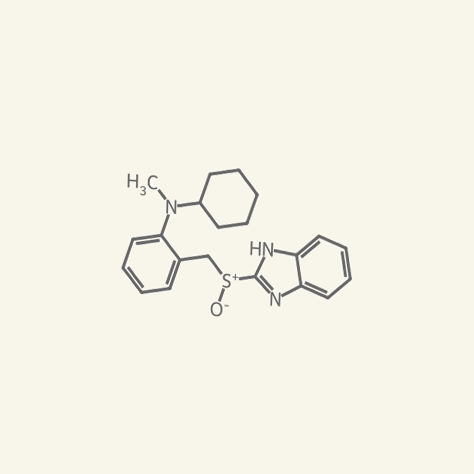 CN(c1ccccc1C[S+]([O-])c1nc2ccccc2[nH]1)C1CCCCC1